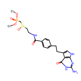 CCOP(=O)(C[S+]([O-])CCNC(=O)c1ccc(CCc2c[nH]c3nc(N)[nH]c(=O)c23)cc1)OCC